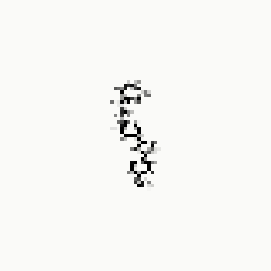 O=[N+]([O-])c1ccc(-n2cc(-c3ccc(OCCN4CCOCC4)cc3)nn2)cc1